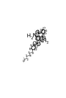 CCCCCCCc1ccc(OC(=O)c2cc(N)c3c(c2N)C(=O)c2ccccc2C3=O)cc1